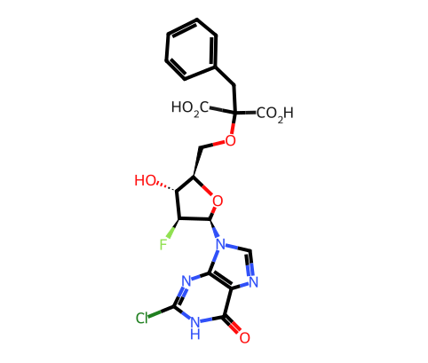 O=C(O)C(Cc1ccccc1)(OC[C@H]1O[C@@H](n2cnc3c(=O)[nH]c(Cl)nc32)[C@@H](F)[C@@H]1O)C(=O)O